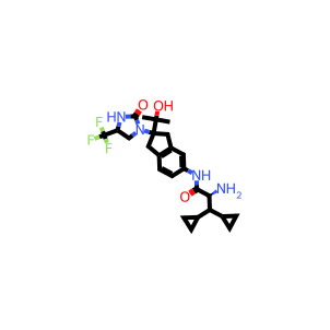 CC(C)(O)C1(N2CC(C(F)(F)F)NC2=O)Cc2ccc(NC(=O)[C@@H](N)C(C3CC3)C3CC3)cc2C1